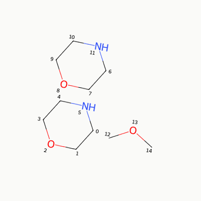 C1COCCN1.C1COCCN1.COC